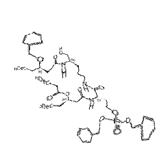 CCCCCCCCCCCC(=O)O[C@H](CCCCCCCCCCC)CC(=O)N[C@@H](CCOP(=O)(OCc1ccccc1)OCc1ccccc1)C(=O)NCCC[C@H](CO)NC(=O)C[C@@H](CCCCCCCCCCC)OCc1ccccc1